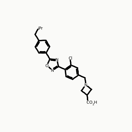 CC(C)Cc1ccc(-c2nc(-c3ccc(CN4CC(C(=O)O)C4)cc3Cl)no2)cc1